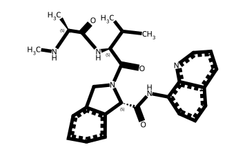 CN[C@@H](C)C(=O)N[C@H](C(=O)N1Cc2ccccc2[C@H]1C(=O)Nc1cccc2cccnc12)C(C)C